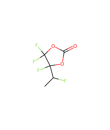 CC(F)C1(F)OC(=O)OC1(F)F